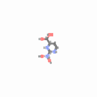 O=C(O)c1ccnc([N+](=O)[O-])n1